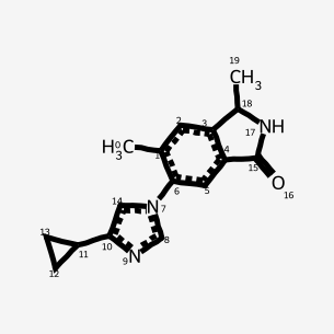 Cc1cc2c(cc1-n1cnc(C3CC3)c1)C(=O)NC2C